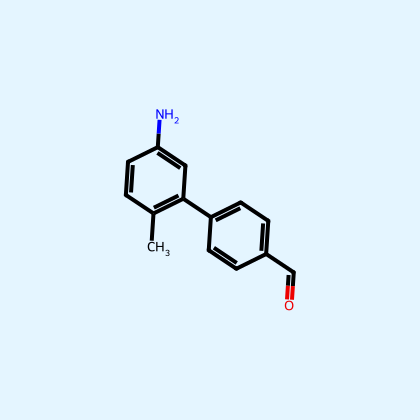 Cc1ccc(N)cc1-c1ccc(C=O)cc1